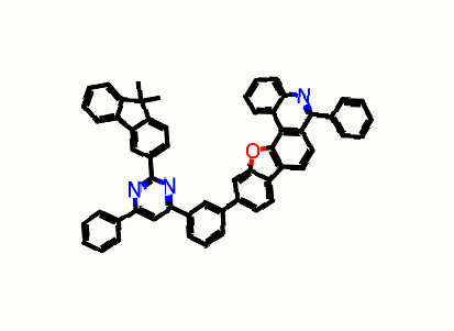 CC1(C)c2ccccc2-c2cc(-c3nc(-c4ccccc4)cc(-c4cccc(-c5ccc6c(c5)oc5c6ccc6c(-c7ccccc7)nc7ccccc7c65)c4)n3)ccc21